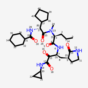 CCC[C@@H](C(=O)N[C@@H](C[C@@H]1CCNC1=O)C(=O)C(=O)NC1CC1)N(C)C(=O)[C@H](NC(=O)C1CCCCC1)C1CCCC1